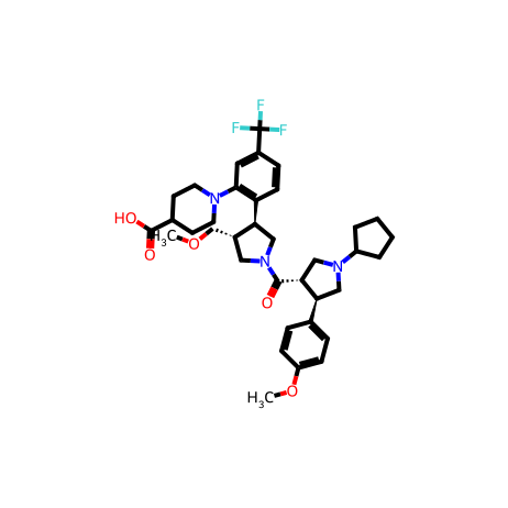 COC[C@H]1CN(C(=O)[C@@H]2CN(C3CCCC3)C[C@H]2c2ccc(OC)cc2)C[C@@H]1c1ccc(C(F)(F)F)cc1N1CCC(C(=O)O)CC1